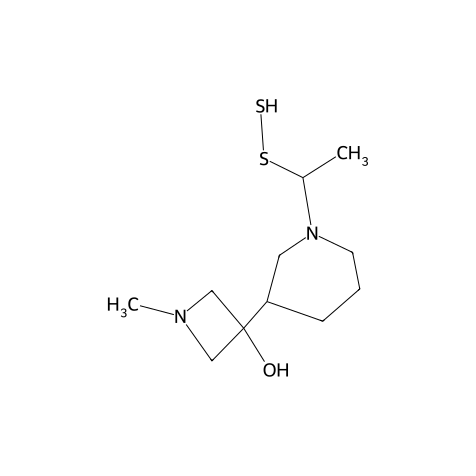 CC(SS)N1CCCC(C2(O)CN(C)C2)C1